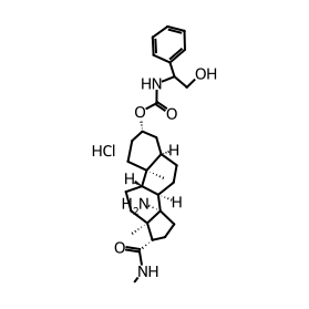 CNC(=O)[C@H]1CC[C@]2(N)[C@@H]3CC[C@@H]4C[C@@H](OC(=O)NC(CO)c5ccccc5)CC[C@]4(C)[C@H]3CC[C@]12C.Cl